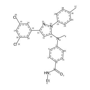 CCNC(=O)c1ccc(N(C)c2cc(-c3cc(Cl)cc(Cl)c3)nn2-c2ccc(C)cc2)cc1